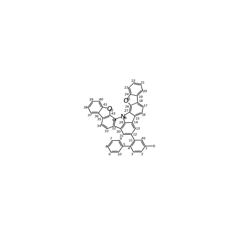 Cc1ccc(-c2ccccc2)c(-c2cc3c4ccc5c6ccccc6oc5c4n4c3c(c2)c2ccc3c5ccccc5oc3c24)c1